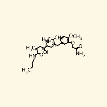 CCCCNC(=O)[C@H](C)C[C@H](O)[C@@H](N)C[C@H](Cc1ccc(OC)c(OCC(N)=O)c1)C(C)C